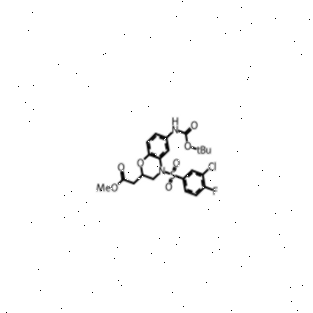 COC(=O)CC1CN(S(=O)(=O)c2ccc(F)c(Cl)c2)c2cc(NC(=O)OC(C)(C)C)ccc2O1